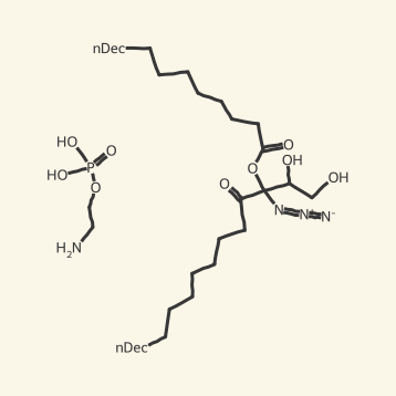 CCCCCCCCCCCCCCCCCC(=O)OC(N=[N+]=[N-])(C(=O)CCCCCCCCCCCCCCCCC)C(O)CO.NCCOP(=O)(O)O